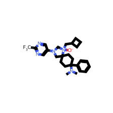 CN(C)C1(c2ccccc2)CCC2(CC1)CN(c1cnc(C(F)(F)F)nc1)C[N+]2([O-])CC1CCC1